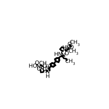 CCCc1nc([C@@H]2CCCN2C(=O)[C@H](C)NC(=O)OC)[nH]c1-c1ccc(-c2ccc(-c3c[nH]c([C@@H]4CCCN4C(=O)[C@H](C)N(C)C(=O)O)n3)cc2)cc1